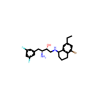 CCc1cc(Br)c2c(c1)C(NC[C@@H](O)[C@@H](N)Cc1cc(F)cc(F)c1)CCC2